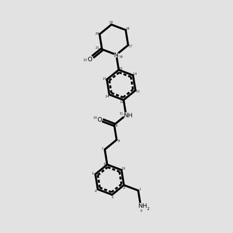 NCc1cccc(CCC(=O)Nc2ccc(N3CCCCC3=O)cc2)c1